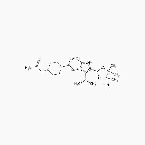 CC(C)c1c(C2OC(C)(C)C(C)(C)O2)[nH]c2ccc(C3CCN(CC(N)=O)CC3)cc12